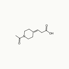 CC(=O)N1CCC(=CCC(=O)O)CC1